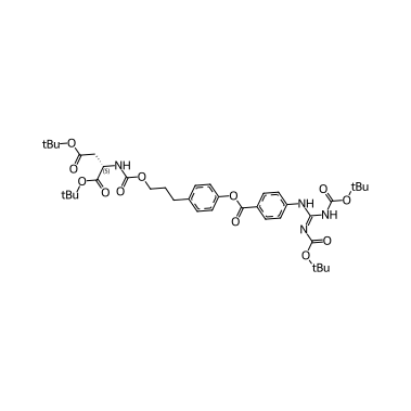 CC(C)(C)OC(=O)C[C@H](NC(=O)OCCCc1ccc(OC(=O)c2ccc(NC(=NC(=O)OC(C)(C)C)NC(=O)OC(C)(C)C)cc2)cc1)C(=O)OC(C)(C)C